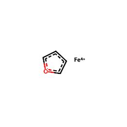 [Fe+4].c1ccoc1